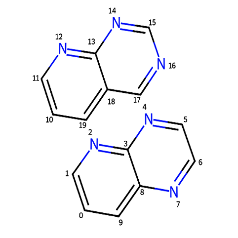 c1cnc2nccnc2c1.c1cnc2ncncc2c1